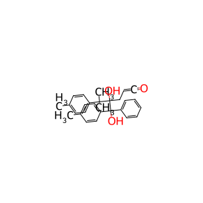 Cc1ccc(C(C)(C)C(O)(CC=C=O)C(O)(c2ccccc2)c2ccc(C)cc2)cc1